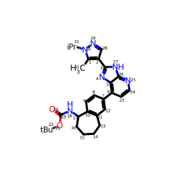 Cc1c(-c2nc3c(-c4ccc5c(c4)CCCCC5NC(=O)OC(C)(C)C)ccnc3[nH]2)cnn1C(C)C